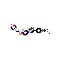 O=[N+]([O-])c1ccc(-c2cn3c(n2)sc2nc(OCCN4CCOCC4)ccc23)cc1